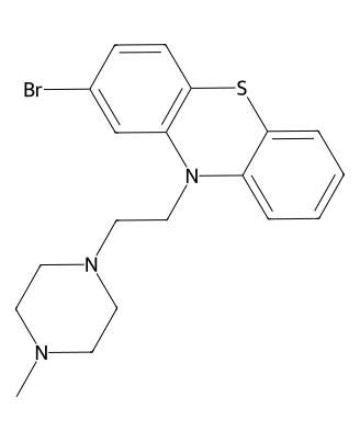 CN1CCN(CCN2c3ccccc3Sc3ccc(Br)cc32)CC1